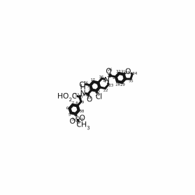 CS(=O)(=O)c1cccc(CC(NC(=O)c2c(Cl)cc3c(c2Cl)CCN(C(=O)c2ccc4c(c2)OCC4)C3)C(=O)O)c1